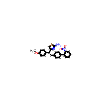 COc1ccc([C@H](Cc2ccc(-c3ccccc3[N+](=O)[O-])cc2)c2csc(N)n2)cc1